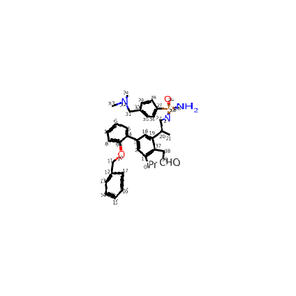 CC(C)c1cc(-c2ccccc2OCc2ccccc2)cc(C(C)CN=S(N)(=O)c2ccc(CN(C)C)cc2)c1CC=O